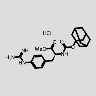 COC(=O)[C@H](Cc1ccc(NC(=N)N)cc1)NC(=O)OC12CC3CC(CC(C3)C1)C2.Cl